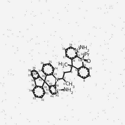 CC(CCC1(C)c2ccccc2P(=O)(C(C)C)c2c1ccc[n+]2N)N1c2ccccc2C2(c3ccccc3-c3ccccc32)c2ccc[n+](N)c21